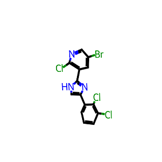 Clc1cccc(-c2c[nH]c(-c3cc(Br)cnc3Cl)n2)c1Cl